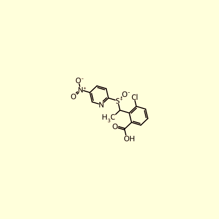 CC(c1c(Cl)cccc1C(=O)O)[S+]([O-])c1ccc([N+](=O)[O-])cn1